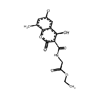 CCOC(=O)CNC(=O)c1c(O)c2cc(Cl)cc(C)c2oc1=O